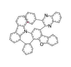 c1ccc(-c2nc3ccccc3nc2-c2cc3c(c4oc5ccccc5c24)-c2ccccc2-c2cccc4c5ccccc5n-3c24)cc1